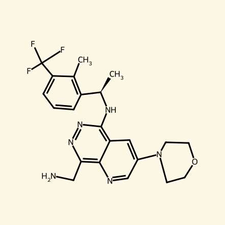 Cc1c([C@@H](C)Nc2nnc(CN)c3ncc(N4CCOCC4)cc23)cccc1C(F)(F)F